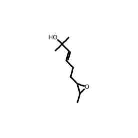 CC1OC1CCC=CC(C)(C)O